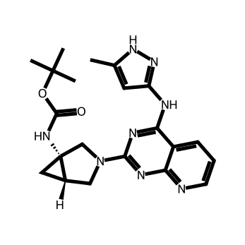 Cc1cc(Nc2nc(N3C[C@@H]4C[C@@]4(NC(=O)OC(C)(C)C)C3)nc3ncccc23)n[nH]1